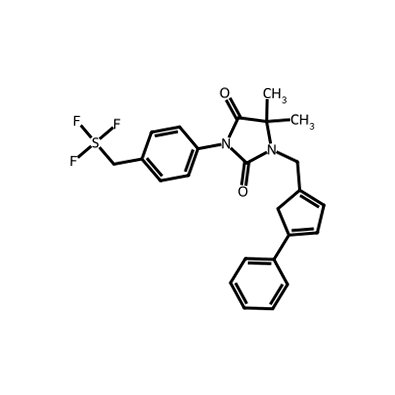 CC1(C)C(=O)N(c2ccc(CS(F)(F)F)cc2)C(=O)N1CC1=CC=C(c2ccccc2)C1